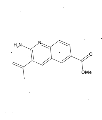 C=C(C)c1cc2cc(C(=O)OC)ccc2nc1N